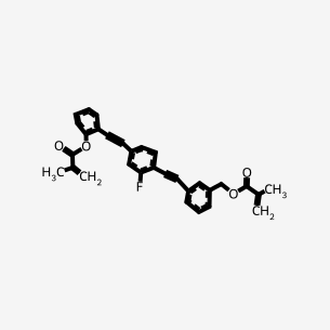 C=C(C)C(=O)OCc1cccc(C#Cc2ccc(C#Cc3ccccc3OC(=O)C(=C)C)cc2F)c1